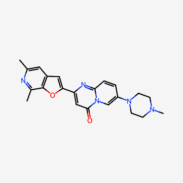 Cc1cc2cc(-c3cc(=O)n4cc(N5CCN(C)CC5)ccc4n3)oc2c(C)n1